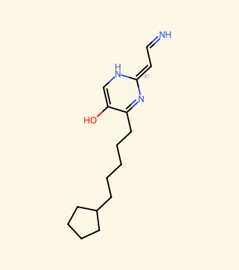 N=C/C=C1/N=C(CCCCCC2CCCC2)C(O)=CN1